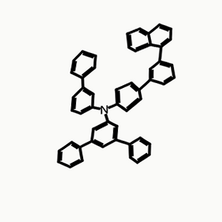 c1ccc(-c2cccc(N(c3ccc(-c4cccc(-c5cccc6ccccc56)c4)cc3)c3cc(-c4ccccc4)cc(-c4ccccc4)c3)c2)cc1